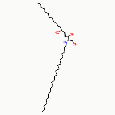 CCCCCCCCCCCCCCCCCCCCCCCCNC(CO)C(O)/C=C/C(O)CCCCCCCCCCCC